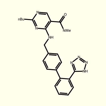 CCCCc1ncc(C(=O)NC)c(NCc2ccc(-c3ccccc3-c3nnn[nH]3)cc2)n1